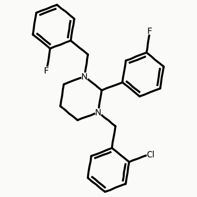 Fc1cccc(C2N(Cc3ccccc3F)CCCN2Cc2ccccc2Cl)c1